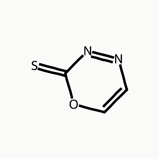 S=c1nncco1